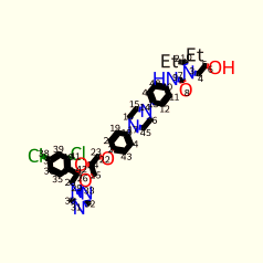 CCC(CC)N(CCO)C(=O)Nc1ccc(N2CCN(c3ccc(OCC4COC(Cn5cncn5)(c5ccc(Cl)cc5Cl)O4)cc3)CC2)cc1